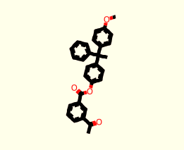 COc1ccc(C(C)(c2ccccc2)c2ccc(OC(=O)c3cccc(C(C)=O)c3)cc2)cc1